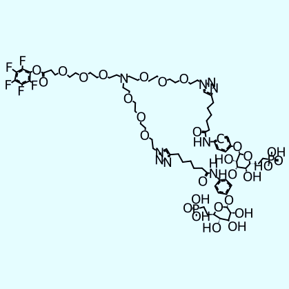 O=C(CCCCCc1cn(CCOCCOCCOCCN(CCOCCOCCOCCC(=O)Oc2c(F)c(F)c(F)c(F)c2F)CCOCCOCCOCCn2cc(CCCCCC(=O)Nc3ccc(O[C@H]4O[C@H](CCP(=O)(O)O)[C@@H](O)[C@H](O)[C@@H]4O)cc3)nn2)nn1)Nc1ccc(O[C@H]2O[C@H](CCP(=O)(O)O)[C@@H](O)[C@H](O)[C@@H]2O)cc1